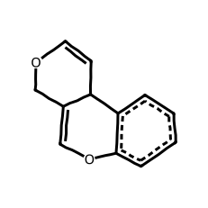 C1=CC2C(=COc3ccccc32)CO1